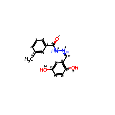 Cc1cccc(C(=O)N/N=C\c2cc(O)ccc2O)c1